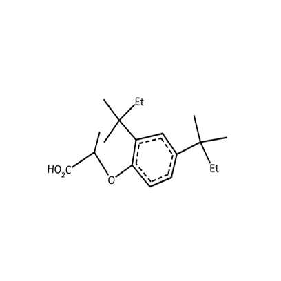 CCC(C)(C)c1ccc(OC(C)C(=O)O)c(C(C)(C)CC)c1